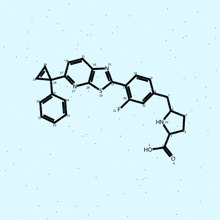 O=C(O)C1CCC(Cc2ccc(-c3nc4ccc(C5(c6ccccc6)C=C5)nc4s3)c(F)c2)N1